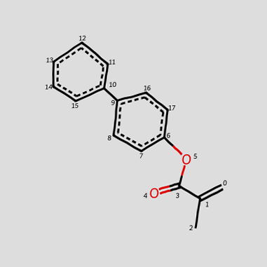 C=C(C)C(=O)Oc1ccc(-c2ccccc2)cc1